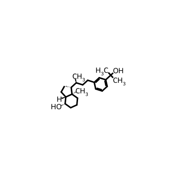 C[C@@H](CCc1cccc(C(C)(C)O)c1)[C@H]1CC[C@H]2[C@@H](O)CCC[C@]12C